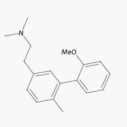 COc1ccccc1-c1cc(CCN(C)C)ccc1C